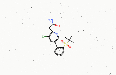 CC(C)(C)S(=O)(=O)c1ccccc1-c1cnc(CC(N)=O)c(Cl)c1